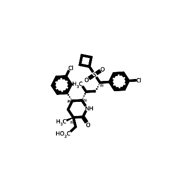 CC(C[C@@H](c1ccc(Cl)cc1)S(=O)(=O)C1CCC1)[C@@H]1NC(=O)[C@](C)(CC(=O)O)C[C@@H]1c1cccc(Cl)c1